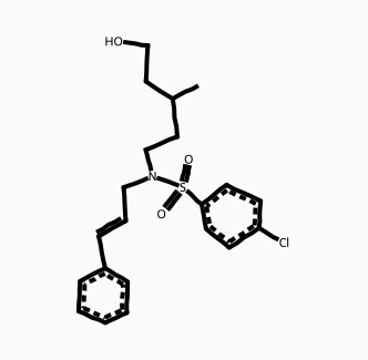 CC(CCO)CCN(CC=Cc1ccccc1)S(=O)(=O)c1ccc(Cl)cc1